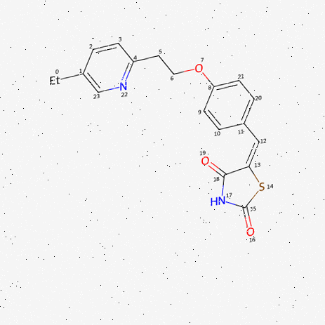 CCc1ccc(CCOc2ccc(C=C3SC(=O)NC3=O)cc2)nc1